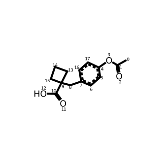 CC(=O)Oc1ccc(CC2(C(=O)O)CCC2)cc1